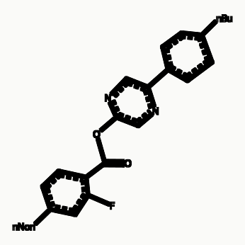 CCCCCCCCCc1ccc(C(=O)Oc2cnc(-c3ccc(CCCC)cc3)cn2)c(F)c1